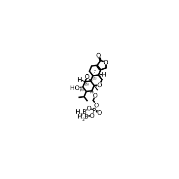 BOP(=O)(OB)OCO[C@@H]1C(C(C)C)[C@@H](O)[C@@H]2O[C@@]23[C@@]2(C)CCC4=C(COC4=O)[C@@H]2CO[C@]13C